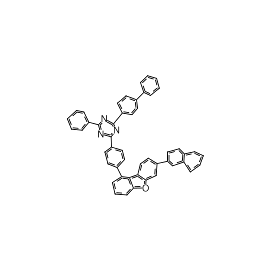 c1ccc(-c2ccc(-c3nc(-c4ccccc4)nc(-c4ccc(-c5cccc6oc7cc(-c8ccc9ccccc9c8)ccc7c56)cc4)n3)cc2)cc1